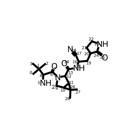 CC(C)(C)C(N)C(=O)N1CC2C(C1C(=O)NC(C#N)CC1CCNC1=O)C2(C)C